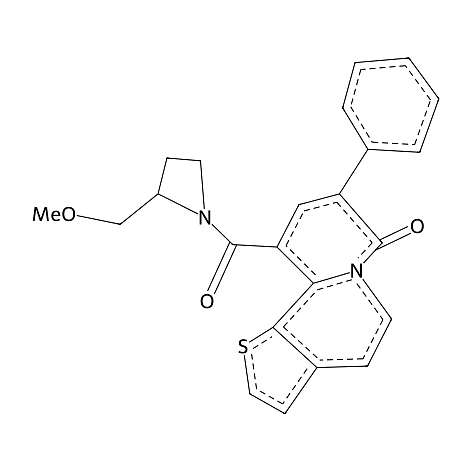 COCC1CCN1C(=O)c1cc(-c2ccccc2)c(=O)n2ccc3ccsc3c12